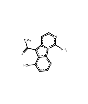 COC(=O)c1c2c(O)ccnc2n2c(N)nccc12